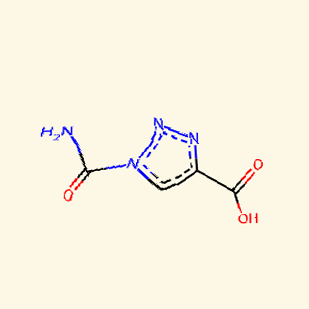 NC(=O)n1cc(C(=O)O)nn1